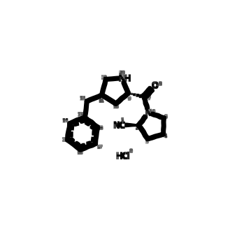 Cl.N#C[C@@H]1CCCN1C(=O)[C@@H]1CC(Cc2ccccc2)CN1